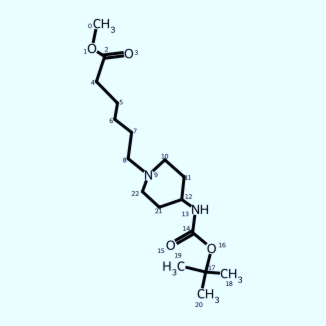 COC(=O)CCCCCN1CCC(NC(=O)OC(C)(C)C)CC1